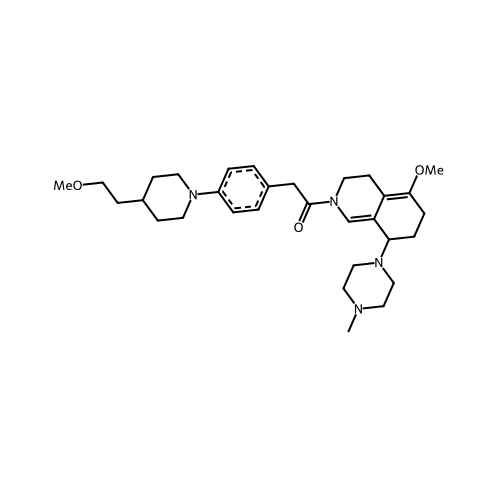 COCCC1CCN(c2ccc(CC(=O)N3C=C4C(=C(OC)CCC4N4CCN(C)CC4)CC3)cc2)CC1